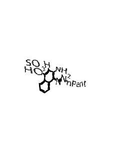 CCCCCN=Nc1c(N)c(S(=O)(=O)O)c(O)c2ccccc12